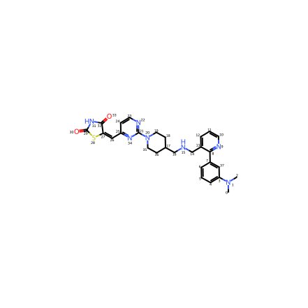 CN(C)c1cccc(-c2ncccc2CNCC2CCN(c3nccc(/C=C4/SC(=O)NC4=O)n3)CC2)c1